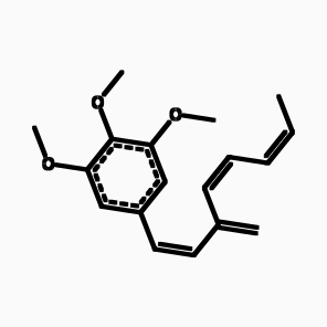 C=C(/C=C\C=C/C)/C=C\c1cc(OC)c(OC)c(OC)c1